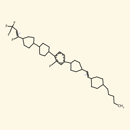 CCCCCC1CCC(/C=C/C2CCC(c3ccc(C4CCC(C5CCC(/C(F)=C/C(F)(F)F)CC5)CC4)c(F)c3)CC2)CC1